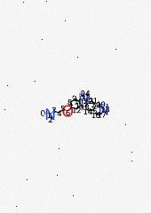 CN(C)CCCOc1ccc2c(c1)c1cc3ccncc3cc1n2C